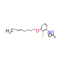 CCC=CCCCCOc1cccc(NC)c1F